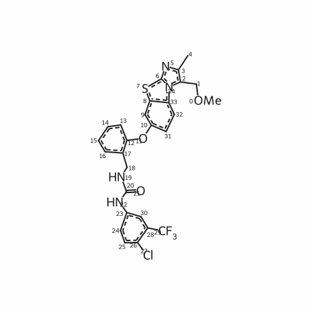 COCc1c(C)nc2sc3cc(Oc4ccccc4CNC(=O)Nc4ccc(Cl)c(C(F)(F)F)c4)ccc3n12